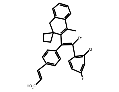 CC/C(=C(\C1=C(C)c2ccccc2CC12CCC2)c1ccc(/C=C/C(=O)O)cc1)c1ccc(F)cc1Cl